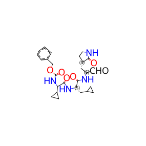 O=C[C@H](C[C@@H]1CCNC1=O)NC(=O)[C@H](CC1CC1)NC(=O)C(NC(=O)OCc1ccccc1)C1CC1